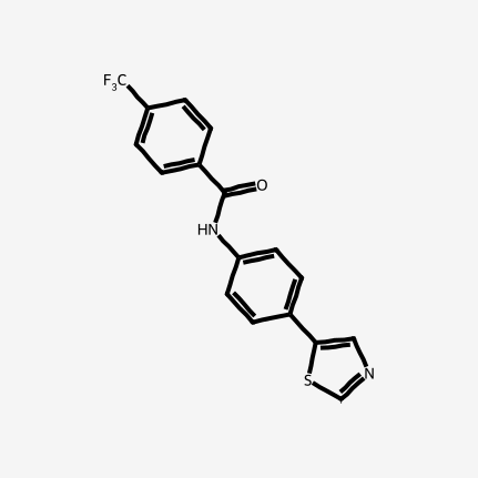 O=C(Nc1ccc(-c2cn[c]s2)cc1)c1ccc(C(F)(F)F)cc1